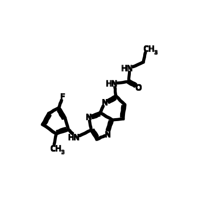 CCNC(=O)Nc1ccc2ncc(Nc3cc(F)ccc3C)nc2n1